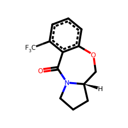 O=C1c2c(cccc2C(F)(F)F)OC[C@@H]2CCCN12